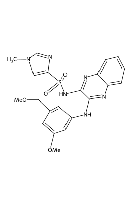 COCc1cc(Nc2nc3ccccc3nc2NS(=O)(=O)c2cn(C)cn2)cc(OC)c1